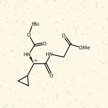 COC(=O)CNC(=O)[C@H](NC(=O)OC(C)(C)C)C1CC1